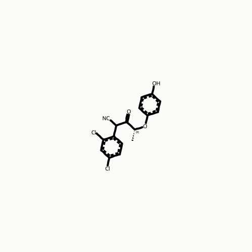 C[C@@H](Oc1ccc(O)cc1)C(=O)C(C#N)c1ccc(Cl)cc1Cl